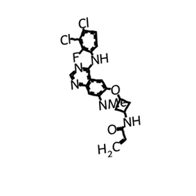 C=CC(=O)NC1CC(Oc2cc3c(Nc4ccc(Cl)c(Cl)c4F)ncnc3cc2NC)C1